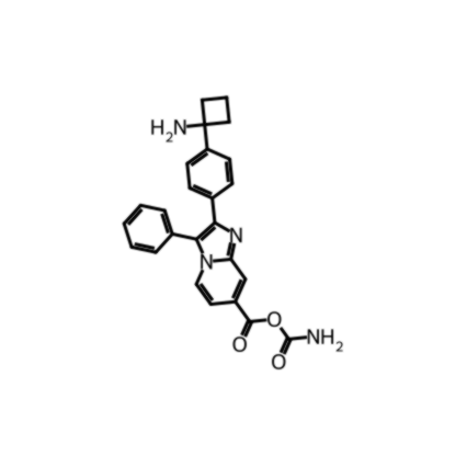 NC(=O)OC(=O)c1ccn2c(-c3ccccc3)c(-c3ccc(C4(N)CCC4)cc3)nc2c1